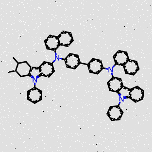 CC1Cc2c(n(-c3ccccc3)c3ccc(N(c4ccc(-c5ccc(N(c6ccc7c(c6)c6ccccc6n7-c6ccccc6)c6cccc7ccccc67)cc5)cc4)c4cccc5ccccc45)cc23)CC1C